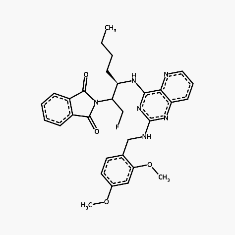 CCCC[C@@H](Nc1nc(NCc2ccc(OC)cc2OC)nc2cccnc12)C(CF)N1C(=O)c2ccccc2C1=O